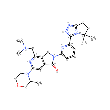 CC1COCCN1c1cc2c(c(CN(C)C(=O)O)n1)CN(c1cccc(-c3nnc4n3C(C)(C)CC4)n1)C2=O